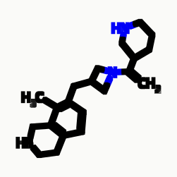 C=C(C1CCCNC1)N1CC(Cc2ccc3c(c2C)CBCC3)C1